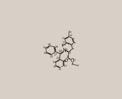 CCOC(=O)C(Cc1ccc(I)cc1F)N=C(c1ccccc1)c1ccccc1